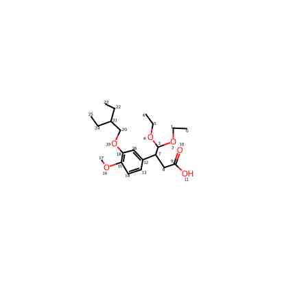 CCOC(OCC)C(CC(=O)O)c1ccc(OC)c(OCC(CC)CC)c1